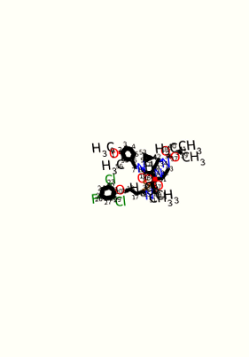 COc1cccc(CN(C(=O)C2=C(c3cnc(CCCOc4c(Cl)cc(F)cc4Cl)s3)CC3CN(C(=O)OC(C)(C)C)C[C@H]2N3C(=O)OC(C)(C)C)C2CC2)c1C